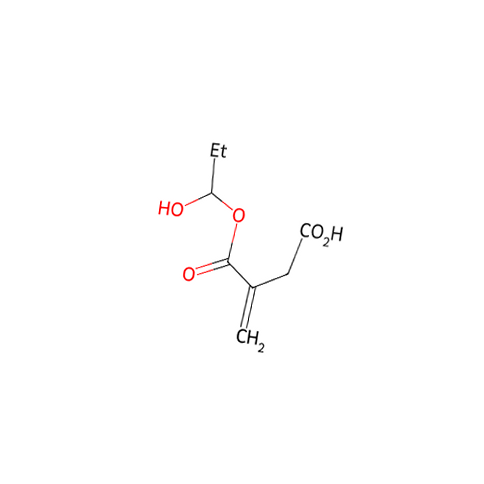 C=C(CC(=O)O)C(=O)OC(O)CC